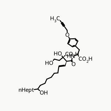 CC#CCOc1ccc(C[C@H](NC(=O)[C@@H](C=CCCCCCCC(O)CCCCCCC)[C@@](O)(CCO)C(=O)O)C(=O)O)cc1